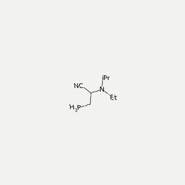 CCN(C(C)C)C(C#N)CP